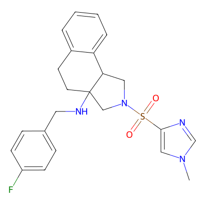 Cn1cnc(S(=O)(=O)N2CC3c4ccccc4CCC3(NCc3ccc(F)cc3)C2)c1